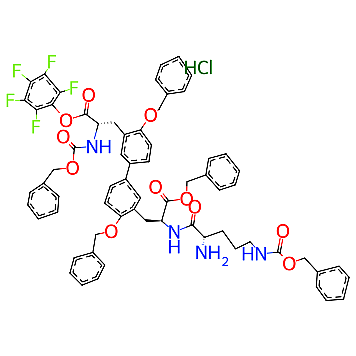 Cl.N[C@@H](CCCNC(=O)OCc1ccccc1)C(=O)N[C@@H](Cc1cc(-c2ccc(OCc3ccccc3)c(C[C@H](NC(=O)OCc3ccccc3)C(=O)Oc3c(F)c(F)c(F)c(F)c3F)c2)ccc1OCc1ccccc1)C(=O)OCc1ccccc1